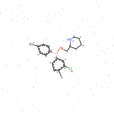 CCc1ccc(B(OCC2CCCCN2)c2ccc(C)c(Cl)c2)cc1